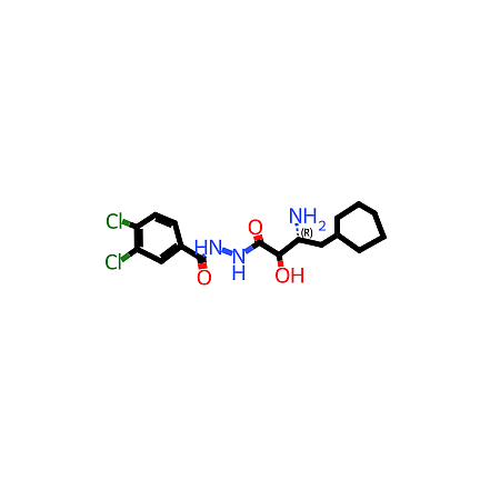 N[C@H](CC1CCCCC1)C(O)C(=O)NNC(=O)c1ccc(Cl)c(Cl)c1